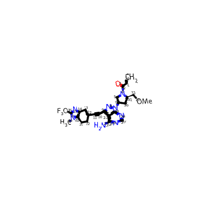 C=CC(=O)N1CC(n2nc(C#CC3=Cc4nc(C(F)(F)F)n(C)c4CC3)c3c(N)ncnc32)C[C@@H]1COC